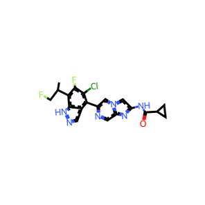 CC(CF)c1c(F)c(Cl)c(-c2cn3cc(NC(=O)C4CC4)nc3cn2)c2cn[nH]c12